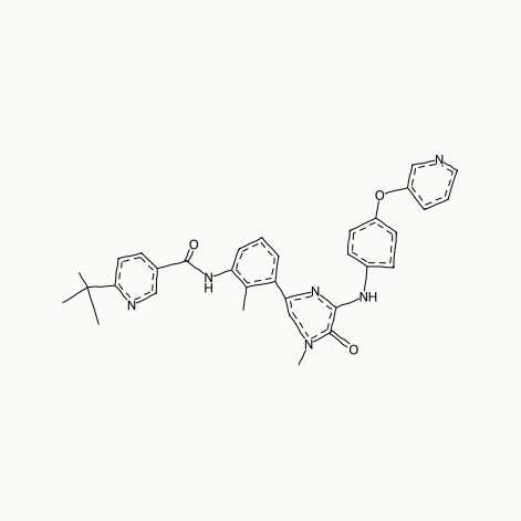 Cc1c(NC(=O)c2ccc(C(C)(C)C)nc2)cccc1-c1cn(C)c(=O)c(Nc2ccc(Oc3cccnc3)cc2)n1